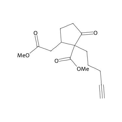 C#CCCCC1(C(=O)OC)C(=O)CCC1CC(=O)OC